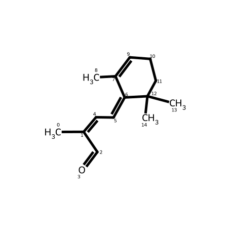 CC(C=O)=CC=C1C(C)=CCCC1(C)C